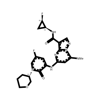 CNc1cc(Nc2cc(F)cn([C@H]3CCCOC3)c2=O)nc2c(C(=O)N[C@H]3C[C@H]3F)cnn12